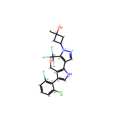 CC1(O)CC(n2ncc(-c3[nH]cc(-c4c(F)cccc4Cl)c3CO)c2C(F)(F)F)C1